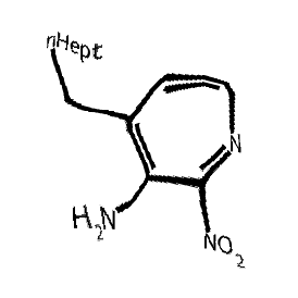 CCCCCCCCc1ccnc([N+](=O)[O-])c1N